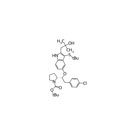 CC(C)(O)Cc1[nH]c2ccc(OC(Cc3ccc(Cl)cc3)[C@H]3CCCN3C(=O)OC(C)(C)C)cc2c1SC(C)(C)C